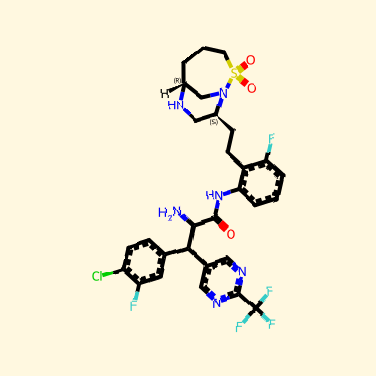 NC(C(=O)Nc1cccc(F)c1CC[C@H]1CN[C@@H]2CCCS(=O)(=O)N1C2)C(c1cnc(C(F)(F)F)nc1)c1ccc(Cl)c(F)c1